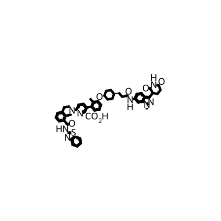 Cc1c(O[C@H]2CC[C@H](CCC(=O)Nc3ccc4c(C5CCC(=O)NC5=O)nn(C)c4c3)CC2)cccc1-c1ccc(N2CCc3cccc(C(=O)Nc4nc5ccccc5s4)c3C2)nc1C(=O)O